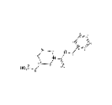 O=C(OCc1ccccc1)N1CCCC(CS(=O)(=O)O)C1